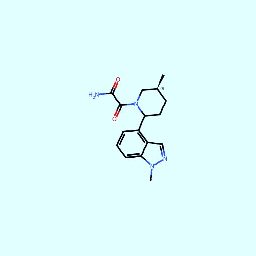 C[C@H]1CCC(c2cccc3c2cnn3C)N(C(=O)C(N)=O)C1